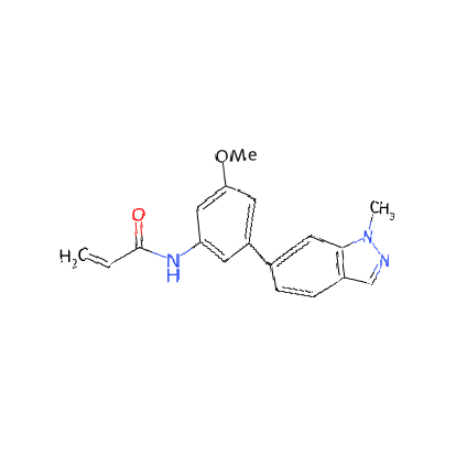 C=CC(=O)Nc1cc(OC)cc(-c2ccc3cnn(C)c3c2)c1